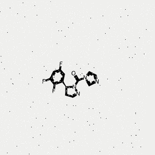 O=C(N1N=CC[C@H]1c1cc(F)cc(F)c1F)n1ccnc1